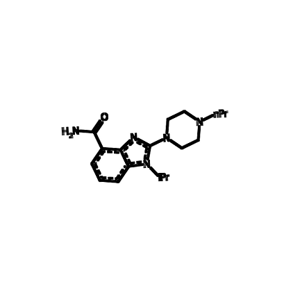 CCCN1CCN(c2nc3c(C(N)=O)cccc3n2C(C)C)CC1